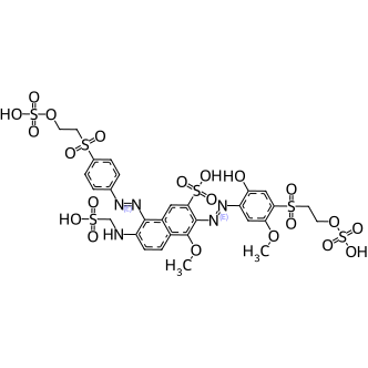 COc1cc(/N=N/c2c(S(=O)(=O)O)cc3c(/N=N/c4ccc(S(=O)(=O)CCOS(=O)(=O)O)cc4)c(NCS(=O)(=O)O)ccc3c2OC)c(O)cc1S(=O)(=O)CCOS(=O)(=O)O